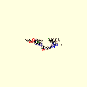 CNC(=O)COc1cc2cc(Nc3nc(N4CCC(C(=O)N5CCC6(CC5)CN(CCNC(=O)C[C@@H]5N=C(c7ccc(Cl)cc7)c7c(sc(C)c7C)-n7c(C)nnc75)C6)CC4)ncc3Cl)cc(OC)c2n(C)c1=O